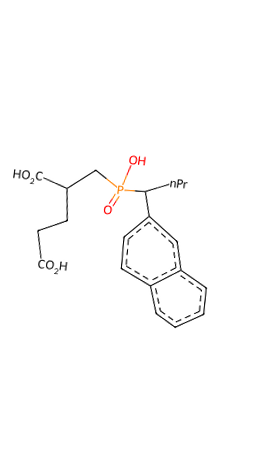 CCCC(c1ccc2ccccc2c1)P(=O)(O)CC(CCC(=O)O)C(=O)O